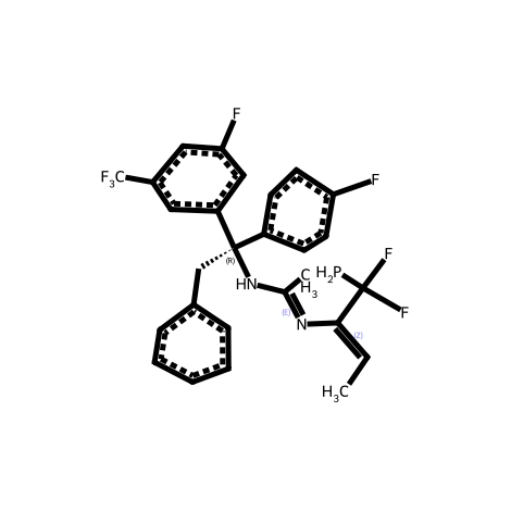 C/C=C(\N=C(/C)N[C@](Cc1ccccc1)(c1ccc(F)cc1)c1cc(F)cc(C(F)(F)F)c1)C(F)(F)P